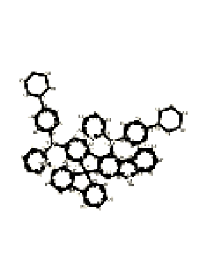 c1ccc(N(c2ccc(C3CCCCC3)cc2)c2ccc3c(c2)C2(c4ccccc4-c4ccccc42)c2cc4sc5ccccc5c4c(N(c4ccc(C5CCCCC5)cc4)c4ccccn4)c2-3)nc1